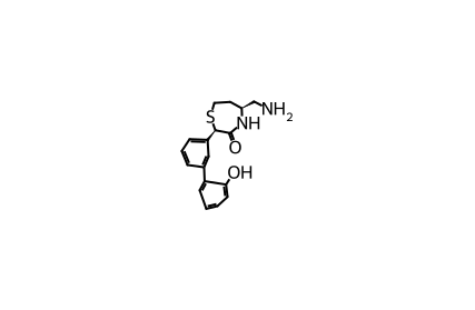 NC[C@@H]1CCS[C@H](c2cccc(-c3ccccc3O)c2)C(=O)N1